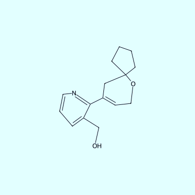 OCc1cccnc1C1=CCOC2(CCCC2)C1